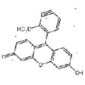 O=C(O)c1c#cccc1-c1c2ccc(=O)cc-2oc2cc(O)ccc12